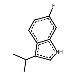 CC(C)c1c[nH]c2cc(F)ccc12